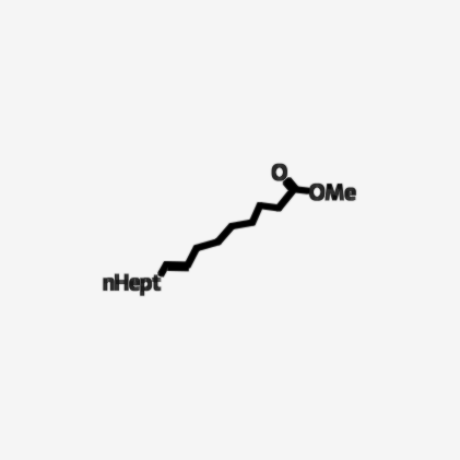 CCCCCCC/C=C/CCCCCCC(=O)OC